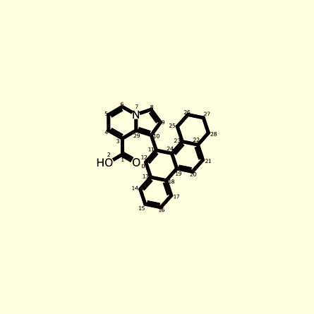 O=C(O)c1cccn2ccc(-c3cc4ccccc4c4ccc5c(c34)CCCC5)c12